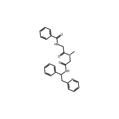 CN(CC(=O)NC(Cc1ccccn1)c1ccccc1)C(=O)CNC(=O)c1ccccc1